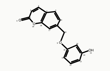 O=c1ccc2ccc(COc3cccc(O)c3)cc2o1